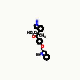 CCN1c2ccccc2C[C@H]1COc1ccc(C(=O)C(C)(C(=O)O)c2cccc3[nH]ccc23)cc1